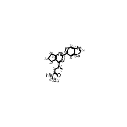 CN(CC(=O)NC(C)(C)C)c1nc(-c2cc3scnc3cn2)nc2c1CCC2